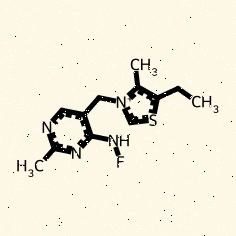 CCc1sc[n+](Cc2cnc(C)nc2NF)c1C